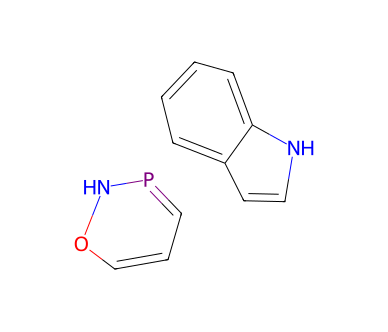 C1=CONP=C1.c1ccc2[nH]ccc2c1